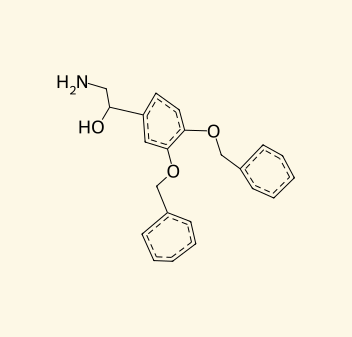 NCC(O)c1ccc(OCc2ccccc2)c(OCc2ccccc2)c1